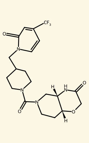 O=C1CO[C@@H]2CCN(C(=O)N3CCC(Cn4ccc(C(F)(F)F)cc4=O)CC3)C[C@@H]2N1